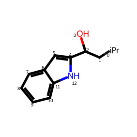 CC(C)CC(O)c1cc2ccccc2[nH]1